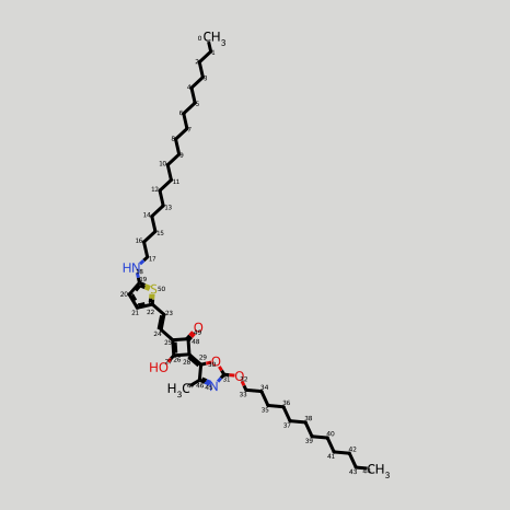 CCCCCCCCCCCCCCCCCCNc1ccc(/C=C/C2=C(O)C(=C3/OC(OCCCCCCCCCCCC)N=C3C)/C2=O)s1